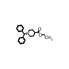 CCOC(=O)C1CCN(C(c2ccccc2)c2ccccc2)CC1